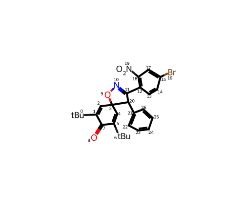 CC(C)(C)C1=CC2(C=C(C(C)(C)C)C1=O)ON=C(c1ccc(Br)cc1[N+](=O)[O-])C2c1ccccc1